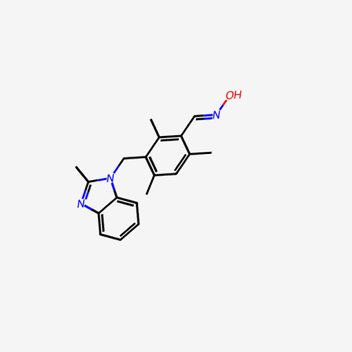 Cc1cc(C)c(Cn2c(C)nc3ccccc32)c(C)c1C=NO